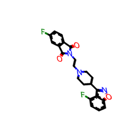 O=C1c2ccc(F)cc2C(=O)N1CCN1CCC(c2noc3cccc(F)c23)CC1